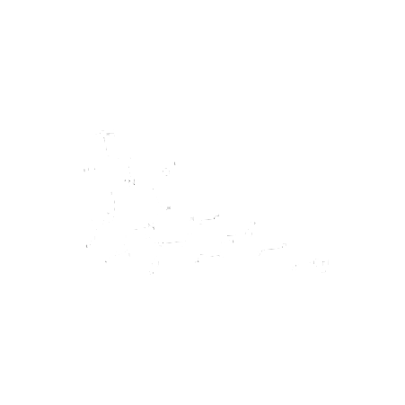 O=C(O)CN1Cc2ccccc2N(C(=O)c2ccc(OCCCO)cc2)CC1=O